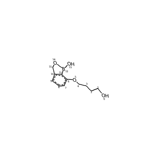 OCCCCOc1cccc2c1B(O)OC2